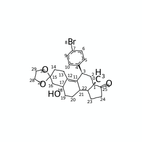 C[C@]12C[C@H](c3ccc(Br)cc3)C3=C4CCC5(C[C@]4(O)CCC3C1CCC2=O)OCCO5